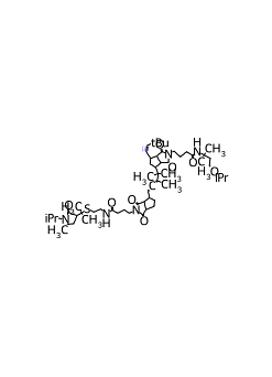 CC(=C=CC1CCC2C(=O)N(CCCC(=O)NCCSC(C)(C)C3CC(C)N(C(C)C)C3=O)C(=O)C12)C(C)(C)C1CC(/C=C\C(C)(C)C)C2C(=O)N(CCCC(=O)NC(C)(C)CCOC(C)C)C(=O)C21